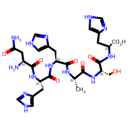 C[C@H](NC(=O)[C@H](Cc1c[nH]cn1)NC(=O)[C@H](Cc1c[nH]cn1)NC(=O)[C@@H](N)CC(N)=O)C(=O)N[C@@H](CO)C(=O)N[C@@H](Cc1c[nH]cn1)C(=O)O